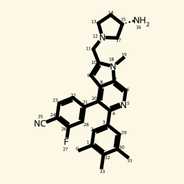 Cc1cc(-c2ncc3c(cc(CN4CC[C@H](N)C4)n3C)c2-c2ccc(C#N)c(F)c2)cc(C)c1C